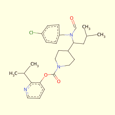 CC(C)CC(C1CCN(C(=O)Oc2cccnc2C(C)C)CC1)N(C=O)c1ccc(Cl)cc1